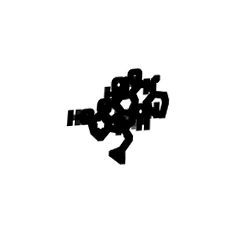 CN(C(=O)C1=C(O)[C@@H]2Oc3c(O)ccc4c3[C@@]23CCN(CC2CC2)[C@H](C4)[C@]3(O)C1)C1CCCCC1